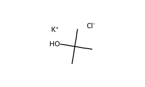 CC(C)(C)O.[Cl-].[K+]